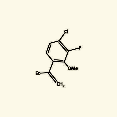 C=C(CC)c1ccc(Cl)c(F)c1OC